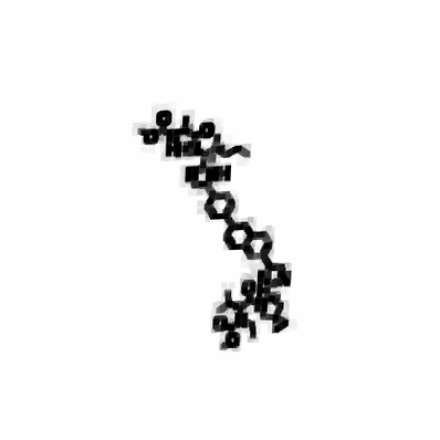 CCC[C@H](C)[C@H](NC(=O)[C@H](C)NC(=O)OC)c1ncc(-c2ccc(-c3ccc4cc(-c5cnc([C@@H]6CC7(CC7)CN6C(=O)[C@H](C(C)C)N(CC)C(=O)OC)[nH]5)ccc4c3)cc2)[nH]1